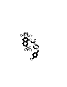 O=C(COc1c([N+](=O)[O-])c([N+](=O)[O-])cc2ccc(S(=O)(=O)O)cc12)N1CCN(Cc2ccc(Cl)cc2)CC1